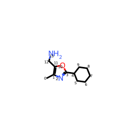 Cc1nc(C2CCCCC2)oc1CN